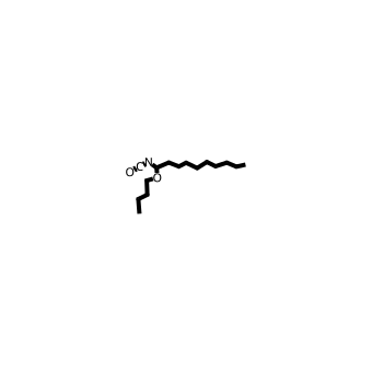 CCCCCCCCCC(N=C=O)OCCCC